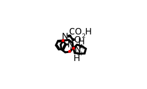 C[C@]1(n2c(=O)c(C(=O)O)nc3ccccc32)C[C@H]2CC[C@@H](C1)N2C1CCCCCCC1